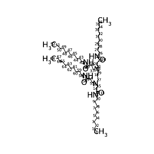 CCCCCCCCCCCNC(=O)CCN(CCCN(CCC(=O)NCCCCCCCCCCC)CCC(=O)NCCCCCCCCCCC)CCC(=O)NCCCCCCCCCCC